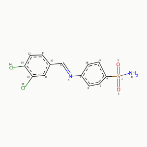 NS(=O)(=O)c1ccc(/N=C/c2ccc(Cl)c(Cl)c2)cc1